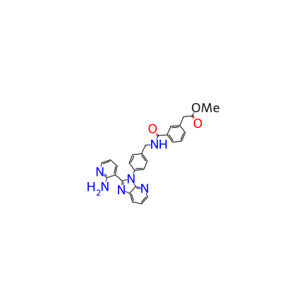 COC(=O)Cc1cccc(C(=O)NCc2ccc(-n3c(-c4cccnc4N)nc4cccnc43)cc2)c1